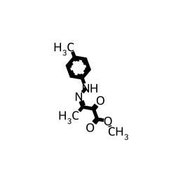 COC(=O)C(=O)C(C)=NNc1ccc(C)cc1